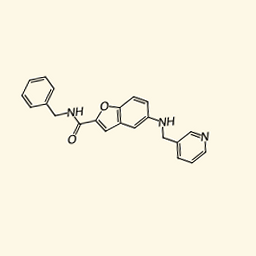 O=C(NCc1ccccc1)c1cc2cc(NCc3cccnc3)ccc2o1